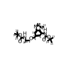 C[C@H](COCc1cc(NC(=O)OC(C)(C)C)c2c(c1)nnn2C)NC(=O)OC(C)(C)C